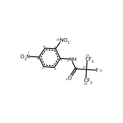 O=C(Nc1ccc([N+](=O)[O-])cc1[N+](=O)[O-])C(F)(C(F)(F)F)C(F)(F)F